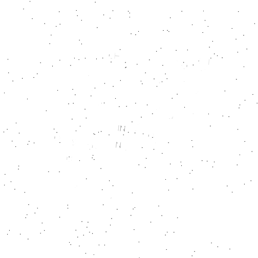 CCCc1ccc(S(=O)(=O)Oc2ccccc2/C=N/NC(=O)Cc2cccc(OC)c2)cc1